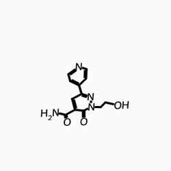 NC(=O)c1cc(-c2ccncc2)nn(CCO)c1=O